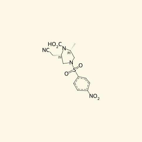 C[C@@H]1CN(S(=O)(=O)c2ccc([N+](=O)[O-])cc2)C[C@H](CC#N)N1C(=O)O